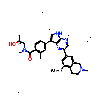 COc1cc(-c2cnc3[nH]cc(-c4ccc(C(=O)N(C)C[C@H](C)O)c(C)c4)c3n2)cc2c1CCN(C)C2